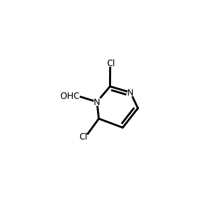 O=CN1C(Cl)=NC=CC1Cl